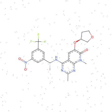 Cc1nc(N[C@H](C)c2cc([N+](=O)[O-])cc(C(F)(F)F)c2)c2cc(O[C@H]3CCOC3)c(=O)n(C)c2n1